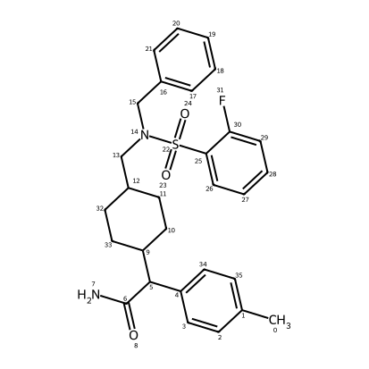 Cc1ccc(C(C(N)=O)C2CCC(CN(Cc3ccccc3)S(=O)(=O)c3ccccc3F)CC2)cc1